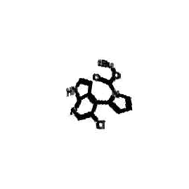 CC(C)(C)OC(=O)n1cccc1-c1c(Cl)cnc2[nH]ccc12